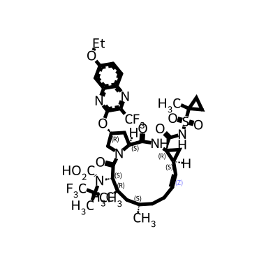 CCOc1ccc2nc(C(F)(F)F)c(O[C@@H]3C[C@H]4C(=O)N[C@]5(C(=O)NS(=O)(=O)C6(C)CC6)C[C@H]5/C=C\CC[C@H](C)C[C@@H](C)[C@H](N(C(=O)O)C(C)(C)C(F)(F)F)C(=O)N4C3)nc2c1